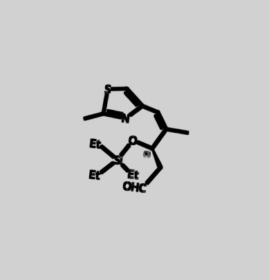 CC[Si](CC)(CC)O[C@H](CC=O)C(C)=Cc1csc(C)n1